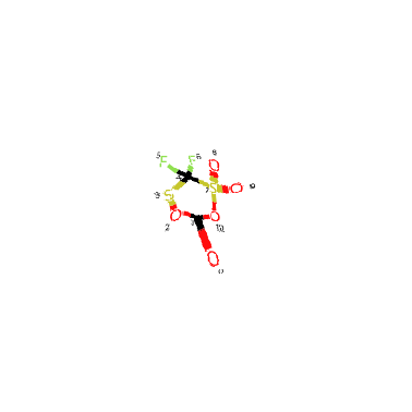 O=C1OSC(F)(F)S(=O)(=O)O1